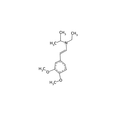 CCN(C=Cc1ccc(OC)c(OC)c1)C(C)C